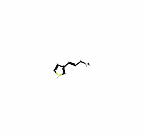 CC/C=C/c1ccsc1